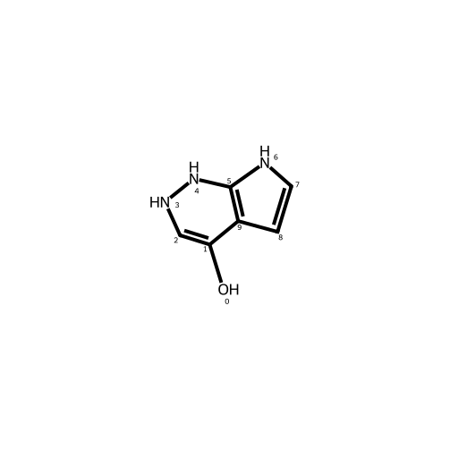 OC1=CNNc2[nH]ccc21